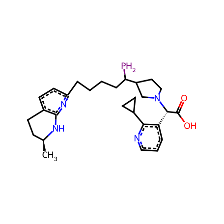 C[C@H]1CCc2ccc(CCCCC(P)C3CCN([C@H](C(=O)O)c4cccnc4C4CC4)C3)nc2N1